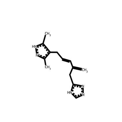 C=C(C=CCc1c(C)n[nH]c1C)Cc1nnc[nH]1